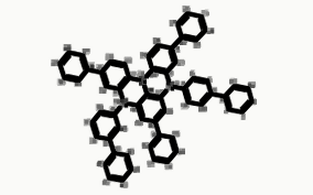 c1ccc(-c2ccc(N3c4cc(-c5ccccc5)ccc4B4c5ccc(-c6ccccc6)cc5N(c5cccc(-c6ccccc6)c5)c5cc(-c6ccccc6)cc3c54)cc2)cc1